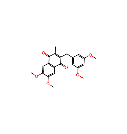 COc1cc(CC2=C(C)C(=O)c3cc(OC)c(OC)cc3C2=O)cc(OC)c1